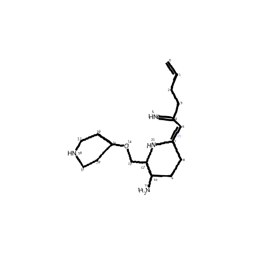 C=CCCC(=N)/C=C1/CCC(N)C(COC2CCNCC2)N1